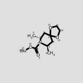 C[C@@H]1CC2(C[C@@H](C)N1C(=O)OC(C)(C)C)OCCO2